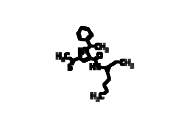 CCCCC1C(CC)C1NC(=O)c1cc(C(C)=S)nn1C(C)c1ccccc1